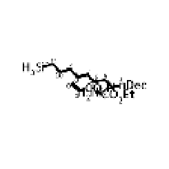 C=CC(=O)O.CCCCCCCCCCCCCCCCCC[SiH3].CCOC(N)=O